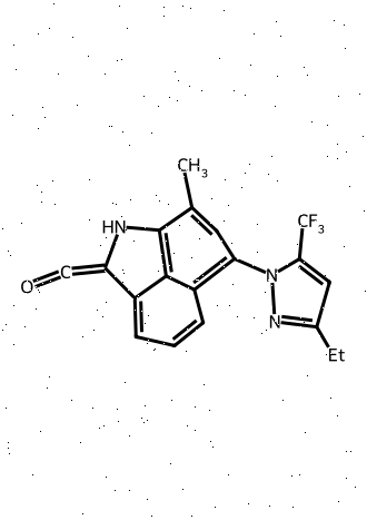 CCc1cc(C(F)(F)F)n(-c2cc(C)c3[nH]c(=C=O)c4cccc2c34)n1